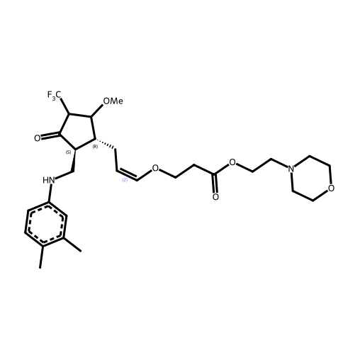 COC1C(C(F)(F)F)C(=O)[C@H](CNc2ccc(C)c(C)c2)[C@H]1C/C=C\OCCC(=O)OCCN1CCOCC1